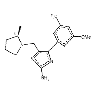 COc1cc(-c2nc(N)sc2CN2CCC[C@H]2C)cc(C(F)(F)F)c1